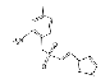 O=[N+]([O-])c1cc(I)ccc1CS(=O)(=O)C=Cc1ccsc1